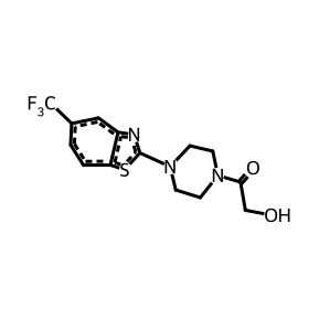 O=C(CO)N1CCN(c2nc3cc(C(F)(F)F)ccc3s2)CC1